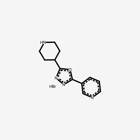 Br.c1cncc(-c2nnc(C3CCNCC3)o2)c1